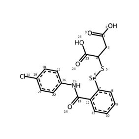 O=C(O)CC(S[Se]c1ccccc1C(=O)Nc1ccc(Cl)cc1)C(=O)O